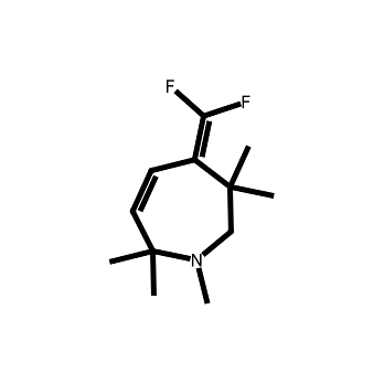 CN1CC(C)(C)C(=C(F)F)C=CC1(C)C